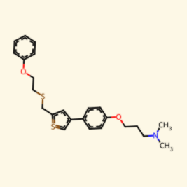 CN(C)CCCOc1ccc(-c2csc(CSCCOc3ccccc3)c2)cc1